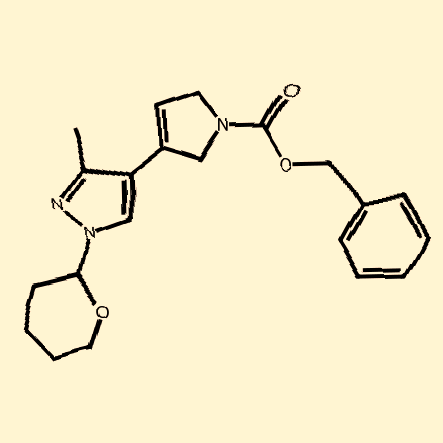 Cc1nn(C2CCCCO2)cc1C1=CCN(C(=O)OCc2ccccc2)C1